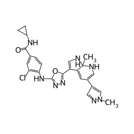 Cn1cc(C2=CNC3(C)NC=C(c4nnc(Nc5ccc(C(=O)NC6CC6)cc5Cl)o4)C3=C2)cn1